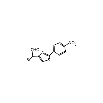 O=CC(Br)c1csc(-c2ccc([N+](=O)[O-])cc2)n1